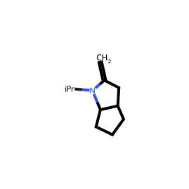 C=C1CC2CCCC2N1C(C)C